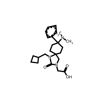 CN(C)C1(c2ccccc2)CCC2(CC1)CN(CC(=O)O)C(=O)N2CC1CCC1